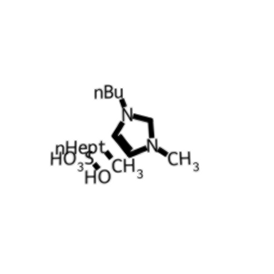 CCCCCCCC.CCCCN1C=CN(C)C1.O=S(=O)(O)O